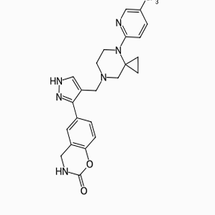 O=C1NCc2cc(-c3n[nH]cc3CN3CCN(c4ccc(C(F)(F)F)cn4)C4(CC4)C3)ccc2O1